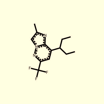 CCC(CC)c1cc(C(F)(F)F)nn2cc(C)nc12